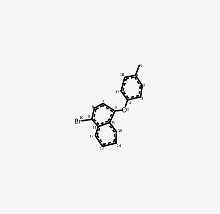 Cc1ccc(Oc2ccc(Br)c3ccccc23)cc1